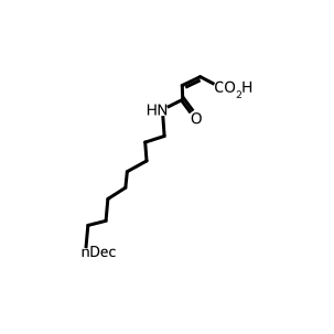 CCCCCCCCCCCCCCCCCCNC(=O)/C=C\C(=O)O